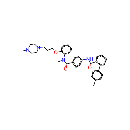 Cc1ccc(-c2ccccc2C(=O)Nc2ccc(C(=O)N(C)c3ccccc3OCCCN3CCN(C)CC3)cc2)cc1